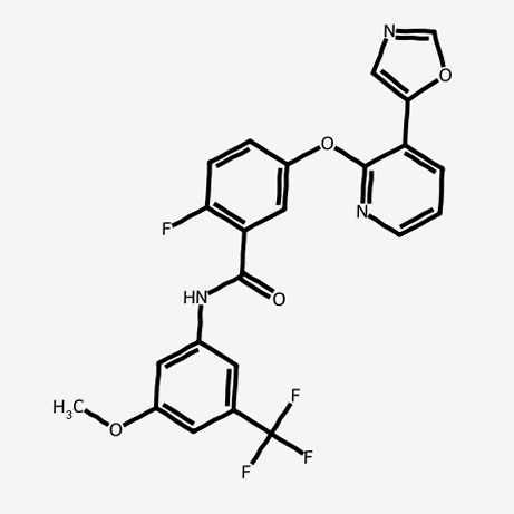 COc1cc(NC(=O)c2cc(Oc3ncccc3-c3cnco3)ccc2F)cc(C(F)(F)F)c1